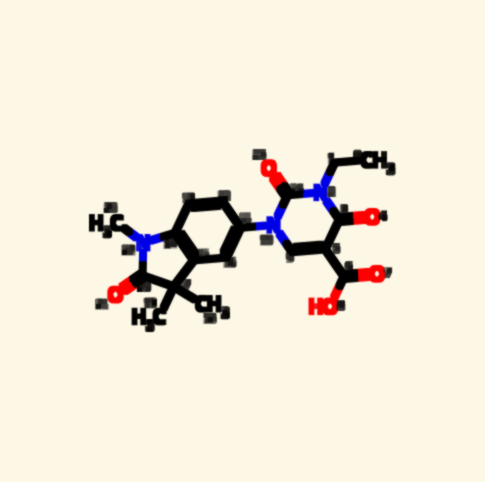 CCn1c(=O)c(C(=O)O)cn(-c2ccc3c(c2)C(C)(C)C(=O)N3C)c1=O